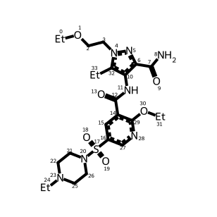 CCOCCn1nc(C(N)=O)c(NC(=O)c2cc(S(=O)(=O)N3CCN(CC)CC3)cnc2OCC)c1CC